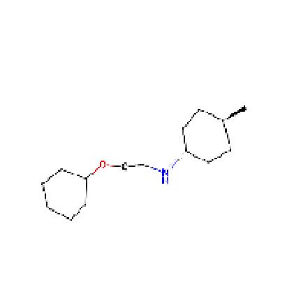 C[C@H]1CC[C@H](NCCOC2CCCCC2)CC1